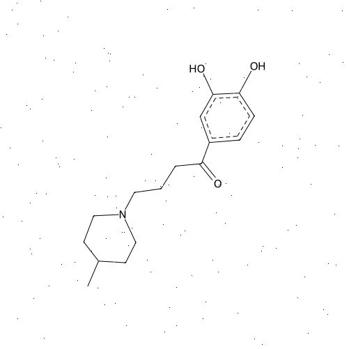 CC1CCN(CCCC(=O)c2ccc(O)c(O)c2)CC1